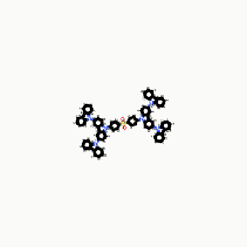 O=S(=O)(c1ccc(-n2c3ccc(-n4c5ccccc5c5ccccc54)cc3c3cc(-n4c5ccccc5c5ccccc54)ccc32)cc1)c1ccc(-n2c3ccc(-n4c5ccccc5c5ccccc54)cc3c3cc(-n4c5ccccc5c5ccccc54)ccc32)cc1